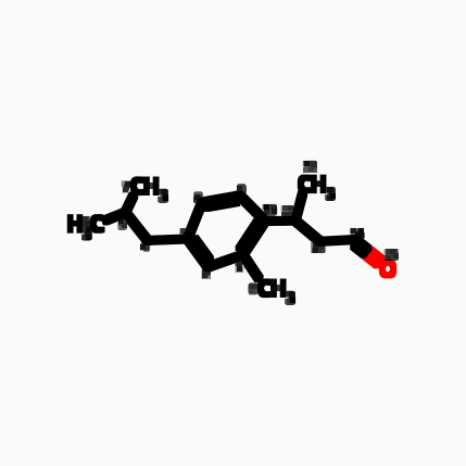 Cc1cc(CC(C)C)ccc1C(C)CC=O